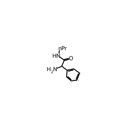 CCCNC(=O)C(N)c1cc[c]cc1